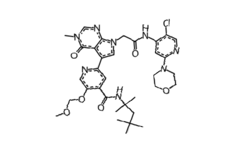 COCOc1cnc(-c2cn(CC(=O)Nc3cc(N4CCOCC4)ncc3Cl)c3ncn(C)c(=O)c23)cc1C(=O)NC(C)(C)CC(C)(C)C